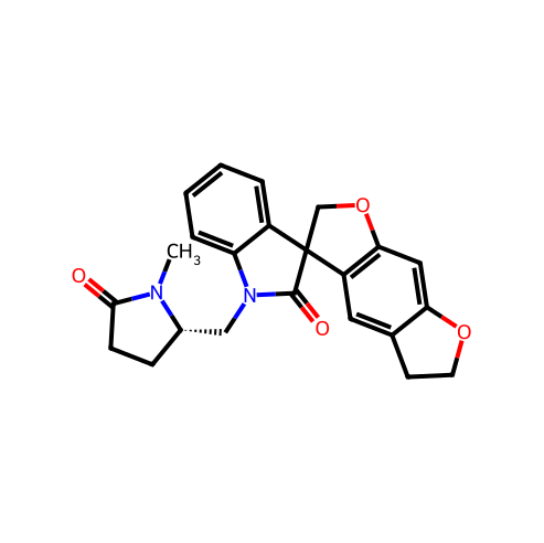 CN1C(=O)CC[C@H]1CN1C(=O)C2(COc3cc4c(cc32)CCO4)c2ccccc21